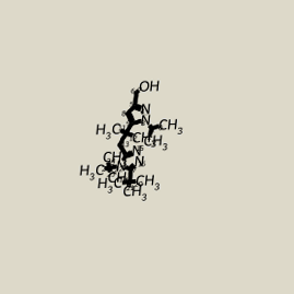 CC(C)n1nc(CO)cc1C(C)(C)Cc1nnc(C(C)(C)C)n1C(C)(C)C